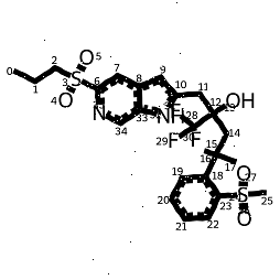 CCCS(=O)(=O)c1cc2cc(CC(O)(CC(C)(C)c3ccccc3S(C)(=O)=O)C(F)(F)F)[nH]c2cn1